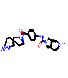 O=C(Nc1ccc(C(=O)N2CCC3(CCCNC3)C2)cc1)N1C=C2C=CNC=C2C1